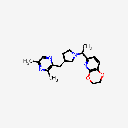 Cc1cnc(C[C@H]2CCN(C(C)c3ccc4c(n3)OCCO4)C2)c(C)n1